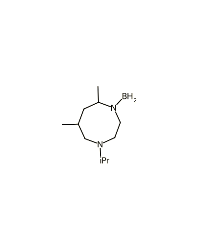 BN1CCN(C(C)C)CC(C)CC1C